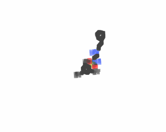 CC(C)c1cc(C(C)C)c(S(=O)(=O)NCCNCCCC2=CCC=CC2)c(C(C)C)c1